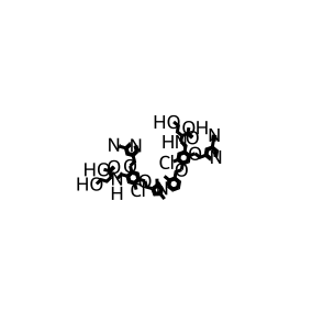 Cc1c(COc2cc(OCc3cncc(C#N)c3)c(CNC(CCO)C(=O)O)cc2Cl)cccc1-n1c(C)cc(COc2cc(OCc3cncc(C#N)c3)c(CNC(CCO)C(=O)O)cc2Cl)c1C